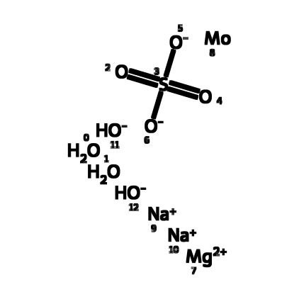 O.O.O=S(=O)([O-])[O-].[Mg+2].[Mo].[Na+].[Na+].[OH-].[OH-]